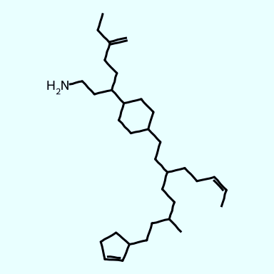 C=C(CC)CCC(CCN)C1CCC(CCC(CC/C=C\C)CCC(C)CCC2C=CCC2)CC1